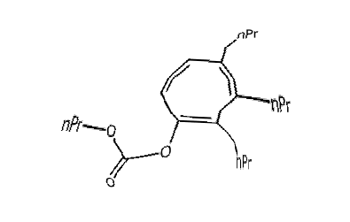 CCCOC(=O)Oc1ccc(CCC)c(CCC)c1CCC